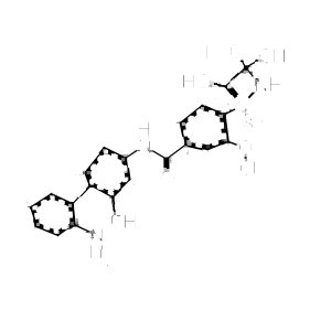 COc1cc(C(=O)Nc2ccc(-c3ccccc3N)c(C)c2)ccc1S1(=O)=C(O)C(C)(C)N1